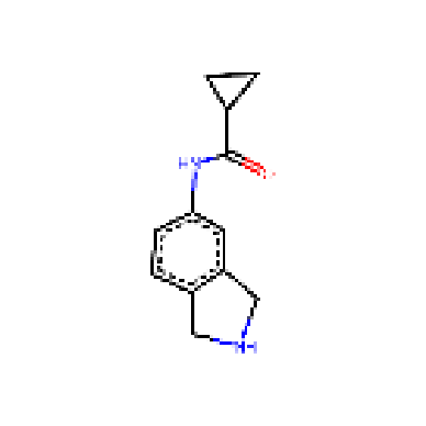 O=C(Nc1ccc2c(c1)CNC2)C1CC1